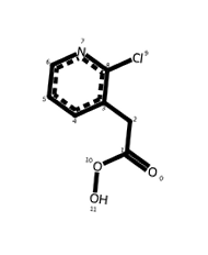 O=C(Cc1cccnc1Cl)OO